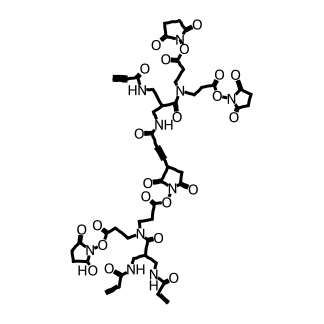 C#CC(=O)NCC(CNC(=O)C#CC1CC(=O)N(OC(=O)CCN(CCC(=O)ON2C(=O)CCC2O)C(=O)C(CNC(=O)C=C)CNC(=O)C=C)C1=O)C(=O)N(CCC(=O)ON1C(=O)CCC1=O)CCC(=O)ON1C(=O)CCC1=O